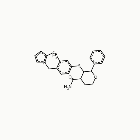 Cc1cccn1Cc1ccc(SC2C(C(N)=O)CCOC2c2ccccc2)cc1F